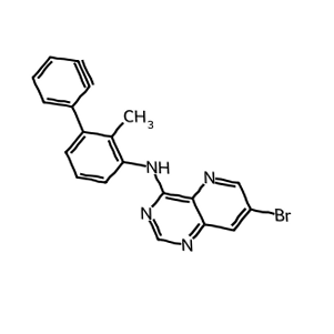 Cc1c(Nc2ncnc3cc(Br)cnc23)cccc1-c1c#cccc1